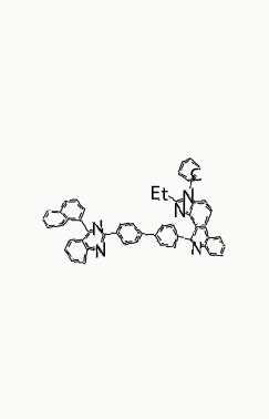 CCc1nc2c3c(-c4ccc(-c5ccc(-c6nc(-c7cccc8ccccc78)c7ccccc7n6)cc5)cc4)nc4ccccc4c3ccc2n1-c1ccccc1